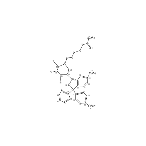 COC(=O)CCCCOC1OC(COC(c2ccccc2)(c2ccc(OC)cc2)c2ccc(OC)cc2)C(C)C(C)C1C